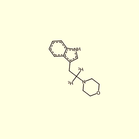 [2H]C([2H])(Cc1c[nH]c2ccccc12)N1CCOCC1